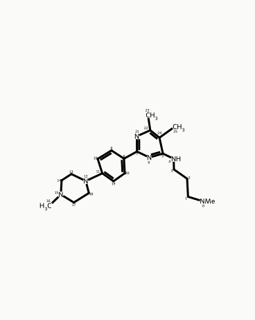 CNCCCNc1nc(-c2ccc(N3CCN(C)CC3)cc2)nc(C)c1C